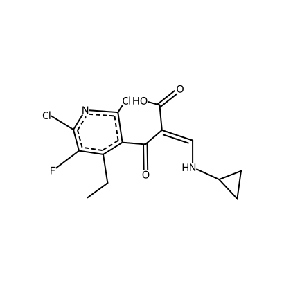 CCc1c(F)c(Cl)nc(Cl)c1C(=O)/C(=C\NC1CC1)C(=O)O